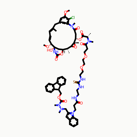 COc1cc2cc(c1Cl)N(C)C(=O)C[C@H](OC(=O)[C@H](C)N(C)C(=O)CCOCCOCCNC(=S)NCCNC(=O)CCn1c(CN(C)N(C)C(=O)OCC3c4ccccc4-c4ccccc43)cc3ccccc31)[C@]1(C)OC1[C@H](C)[C@@H]1C[C@@](O)(NC(=O)O1)[C@H](OC)/C=C/C=C(\C)C2